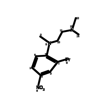 CC(C)c1cc([N+](=O)[O-])ccc1N(C)CCN(C)C